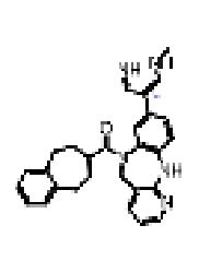 CN/C=C(\C=N)c1ccc2c(c1)N(C(=O)C1CCc3ccccc3CC1)Cc1cccnc1N2